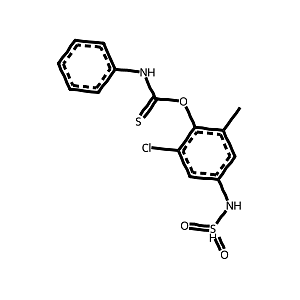 Cc1cc(N[SH](=O)=O)cc(Cl)c1OC(=S)Nc1ccccc1